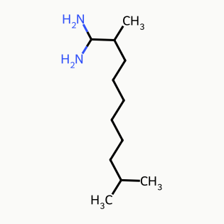 CC(C)CCCCCCC(C)C(N)N